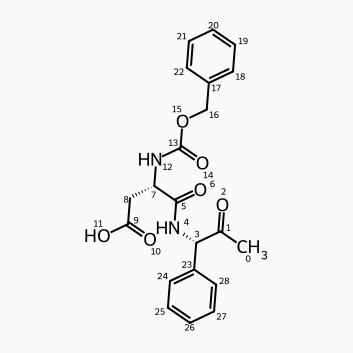 CC(=O)[C@@H](NC(=O)[C@H](CC(=O)O)NC(=O)OCc1ccccc1)c1ccccc1